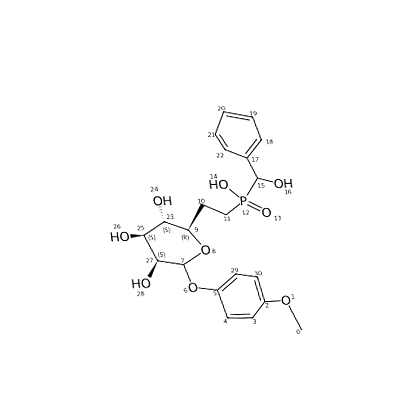 COc1ccc(OC2O[C@H](CCP(=O)(O)C(O)c3ccccc3)[C@@H](O)[C@H](O)[C@@H]2O)cc1